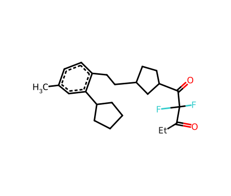 CCC(=O)C(F)(F)C(=O)C1CCC(CCc2ccc(C)cc2C2CCCC2)C1